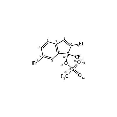 CCC1=Cc2ccc(C(C)C)cc2S1(OS(=O)(=O)C(F)(F)F)C(F)(F)F